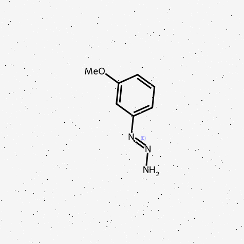 COc1cccc(/N=N/N)c1